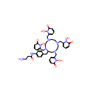 NCCC(=O)Nc1ccc(CC2CN(Cc3cccc(=O)n3O)CCN(Cc3cccc(=O)n3O)CCN(Cc3cccc(=O)n3O)CCN2Cc2cccc(=O)n2O)cc1